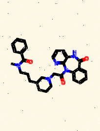 CN(CCCC1CCCN(CC(=O)N2c3ccccc3C(=O)Nc3cccnc32)C1)C(=O)c1ccccc1